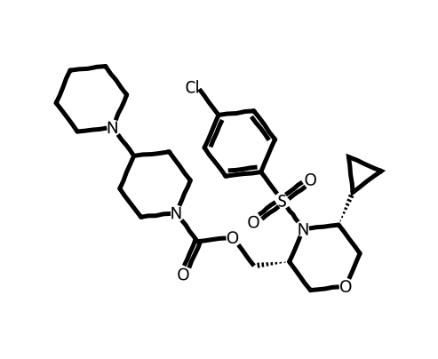 O=C(OC[C@H]1COC[C@@H](C2CC2)N1S(=O)(=O)c1ccc(Cl)cc1)N1CCC(N2CCCCC2)CC1